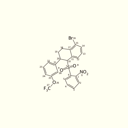 O=[N+]([O-])c1ccccc1S(=O)(=O)C1c2cccc(Br)c2CCC1c1cccc(OC(F)(F)F)c1